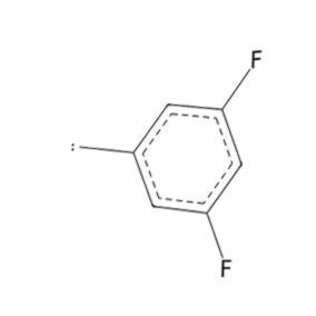 [CH]c1cc(F)cc(F)c1